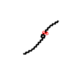 CCCCCCCCCCCCCCCCc1ccc(OC(=O)CCCCCCCCCCC)cc1